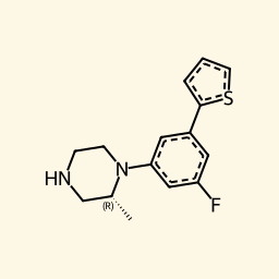 C[C@@H]1CNCCN1c1cc(F)cc(-c2cccs2)c1